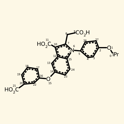 CC(C)Oc1ccc(-n2c(CC(=O)O)c(C(=O)O)c3cc(Oc4cccc(C(=O)O)c4)ccc32)cc1